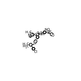 [CH2]n1cc(Oc2cc(N3CCN(CC4=C(c5ccc(Cl)cc5)CC(C)(C)CC4)CC3)ccc2C(=O)NSc2ccc(OCC3(F)CCOCC3)c([N+](=O)[O-])c2)cc2ccnc1-2